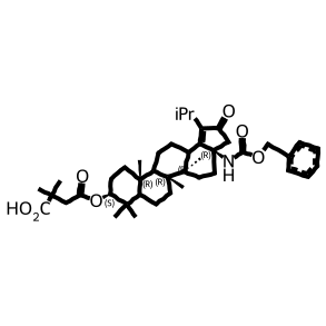 CC(C)C1=C2C3CCC4[C@@]5(C)CC[C@H](OC(=O)CC(C)(C)C(=O)O)C(C)(C)C5CC[C@@]4(C)[C@]3(C)CC[C@@]2(NC(=O)OCc2ccccc2)CC1=O